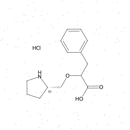 Cl.O=C(O)C(Cc1ccccc1)OC[C@@H]1CCCN1